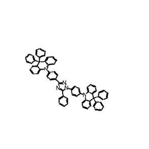 c1ccc(-c2nc(-c3ccc(N4c5ccccc5C(c5ccccc5)(c5ccccc5)c5ccccc54)cc3)nn2-c2ccc(N3c4ccccc4C(c4ccccc4)(c4ccccc4)c4ccccc43)cc2)cc1